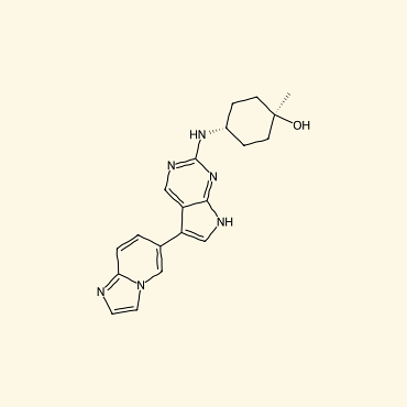 C[C@]1(O)CC[C@H](Nc2ncc3c(-c4ccc5nccn5c4)c[nH]c3n2)CC1